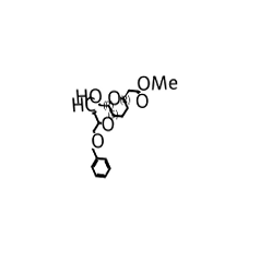 C#CC(COCc1ccccc1)O[C@H]1CC[C@H](CC(=O)OC)O[C@@H]1CO